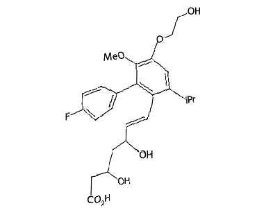 COc1c(OCCO)cc(C(C)C)c(/C=C/C(O)CC(O)CC(=O)O)c1-c1ccc(F)cc1